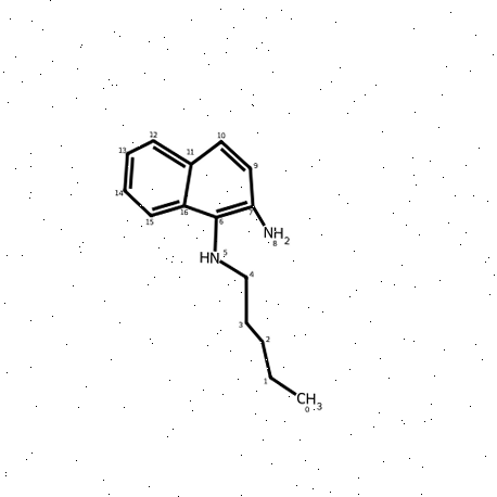 CCCCCNc1c(N)ccc2ccccc12